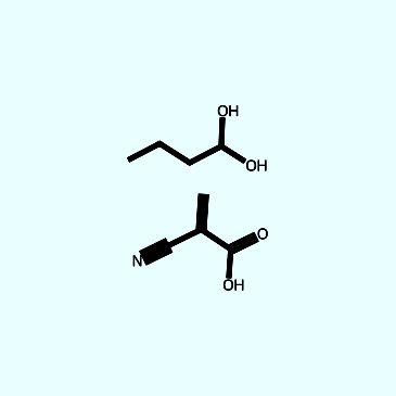 C=C(C#N)C(=O)O.CCCC(O)O